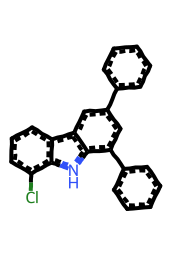 Clc1cccc2c1[nH]c1c(-c3ccccc3)cc(-c3ccccc3)cc12